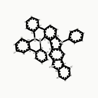 c1ccc(-n2c3cc4c(cc3c3c5c(ccc32)-c2ccccc2B2c3ccccc3-c3ccccc3N25)sc2ccccc24)cc1